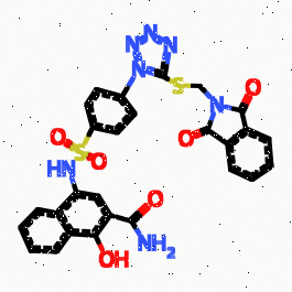 NC(=O)c1cc(NS(=O)(=O)c2ccc(-n3nnnc3SCN3C(=O)c4ccccc4C3=O)cc2)c2ccccc2c1O